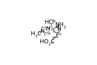 CN1CCN(Cc2cc(C=CC(=O)O)cnc2N)CC1.Cl